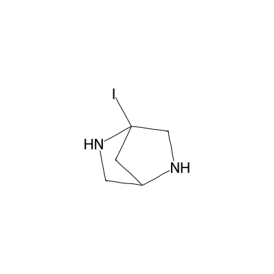 IC12CNC(CN1)C2